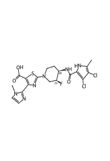 Cc1[nH]c(C(=O)N[C@@H]2CCN(c3nc(-c4nccn4C)c(C(=O)O)s3)C[C@@H]2F)c(Cl)c1Cl